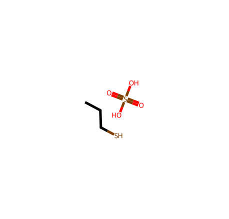 CCCS.O=S(=O)(O)O